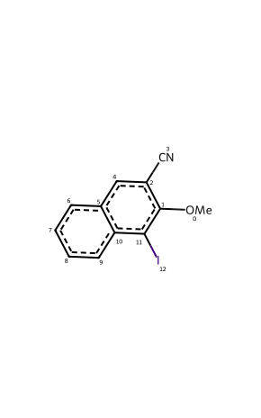 COc1c(C#N)cc2ccccc2c1I